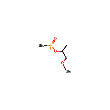 CC(COC(C)(C)C)O[PH](=O)C(C)(C)C